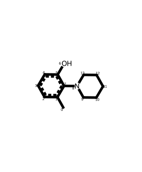 Cc1cccc(O)c1N1CCCCC1